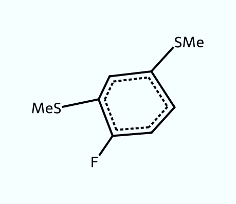 CSc1ccc(F)c(SC)c1